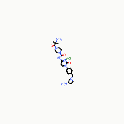 CC(C)(N)C(=O)N1CCN(C(=O)Nc2ccn(-c3ccc(CN4CC[C@H](N)C4)cc3)c(=O)n2)CC1.Cl